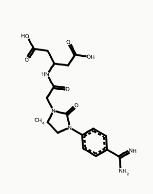 C.N=C(N)c1ccc(N2CCN(CC(=O)NC(CC(=O)O)CC(=O)O)C2=O)cc1